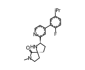 CC(C)c1ccc(F)c(-c2ccnc([C@H]3CC[C@@]4(CCN(C)C4=O)N3)c2)c1